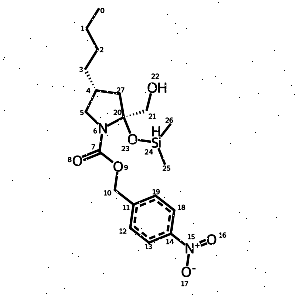 CCCC[C@H]1CN(C(=O)OCc2ccc([N+](=O)[O-])cc2)[C@](CO)(O[SiH](C)C)C1